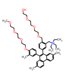 CC[N+](CC)(CC)Cc1cc(-c2c(-c3ccc(OCCOCCOCCOC)c(C)c3)c3cc(C)ccc3c3ccc(C)cc23)ccc1COCCOCCOCCO